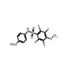 COc1ccc(NS(=O)(=O)c2c(F)c(F)c(OC(F)(F)F)c(F)c2F)cc1